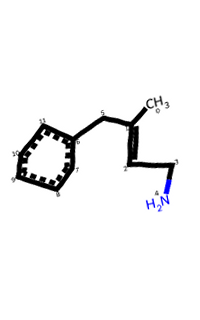 CC(=CCN)Cc1ccccc1